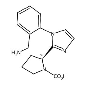 NCc1ccccc1-n1ccnc1[C@@H]1CCCN1C(=O)O